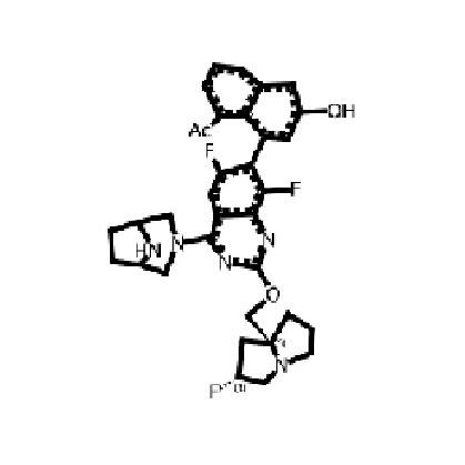 CC(=O)c1cccc2cc(O)cc(-c3c(F)cc4c(N5CC6CCC(C5)N6)nc(OC[C@@]56CCCN5C[C@H](F)C6)nc4c3F)c12